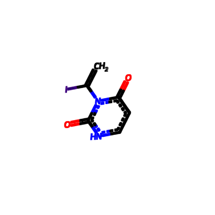 C=C(I)n1c(=O)cc[nH]c1=O